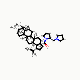 C=C(C)[C@@H]1CC[C@]2(C(=O)N3CCC[C@H]3CN3CCCC3)CC[C@]3(C)[C@H](CC[C@@H]4[C@@]5(C)CC[C@H](OC(C)=O)C(C)(C)[C@@H]5CC[C@]43C)[C@@H]12